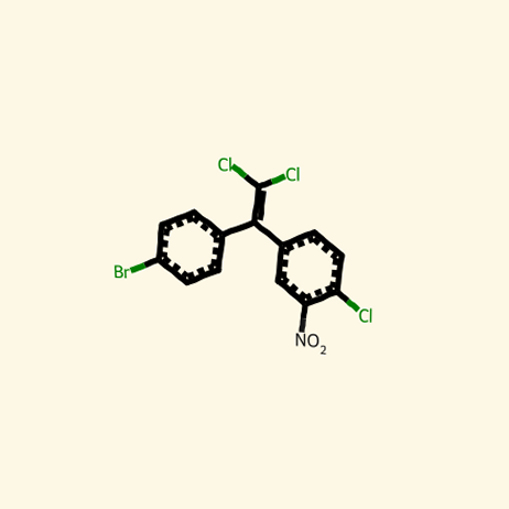 O=[N+]([O-])c1cc(C(=C(Cl)Cl)c2ccc(Br)cc2)ccc1Cl